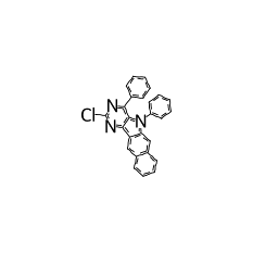 Clc1nc(-c2ccccc2)c2c(n1)c1cc3ccccc3cc1n2-c1ccccc1